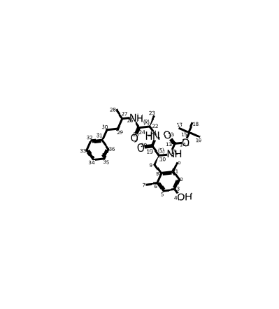 Cc1cc(O)cc(C)c1C[C@H](NC(=O)OC(C)(C)C)C(=O)N[C@H](C)C(=O)NC(C)CCc1ccccc1